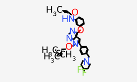 CC#CC(=O)Nc1cccc(Oc2ncnc3c2cc(-c2ccc(CN4CCC(F)(F)CC4)cc2)n3COCC[Si](C)(C)C)c1